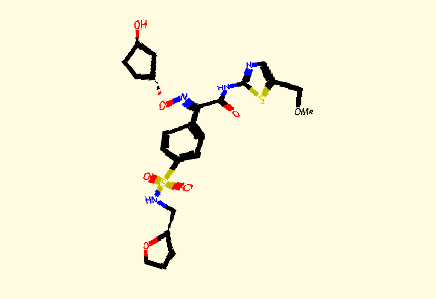 COCc1cnc(NC(=O)/C(=N/O[C@@H]2CC[C@@H](O)C2)c2ccc(S(=O)(=O)NC[C@H]3CCCO3)cc2)s1